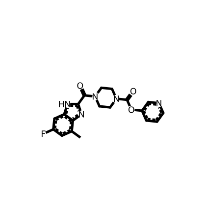 Cc1cc(F)cc2[nH]c(C(=O)N3CCN(C(=O)Oc4cccnc4)CC3)nc12